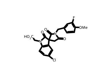 COc1ccc(CN2C(=O)CC3(C2=O)C(=O)N(CC(=O)O)c2ccc(Cl)cc23)cc1F